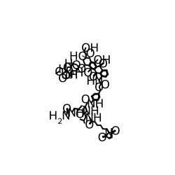 CO[C@H]1OCCN2[C@@H]1O[C@@H]1[C@H](C)O[C@@H](O[C@H]3C[C@](O)(C(=O)CO)Cc4c(O)c5c(c(O)c43)C(=O)c3c(NC(=O)OCc4ccc(NC(=O)[C@H](CCCNC(N)=O)NC(=O)[C@@H](NC(=O)CCCCCN6C(=O)C=CC6=O)C(C)C)cc4)cccc3C5=O)C[C@@H]12